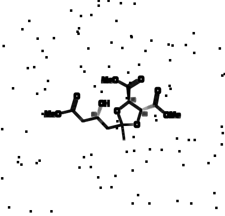 COC(=O)C[C@H](O)CC1(C)O[C@@H](C(=O)OC)[C@H](C(=O)OC)O1